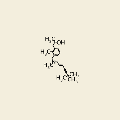 Cc1c(CC(C)O)cccc1CN(C)C/C=C/C#CC(C)(C)C